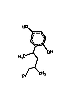 CC(C)CC(C)CC(C)c1cc(O)ccc1O